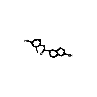 Cc1cc(O)ccc1OC(=O)c1ccc2cc(O)ccc2c1